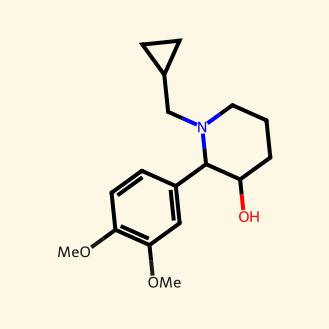 COc1ccc(C2C(O)CCCN2CC2CC2)cc1OC